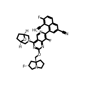 C#Cc1c(F)ccc2cc(C#N)cc(-c3ncc4c(N5C[C@H]6CC[C@@H](C5)O6)nc(OC[C@@]56CCCN5C[C@H](F)C6)nc4c3F)c12